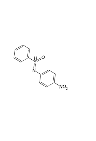 O=[N+]([O-])c1ccc(/N=[SH](=O)/c2ccccc2)cc1